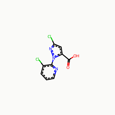 O=C(O)c1cc(Cl)nn1-c1ncccc1Cl